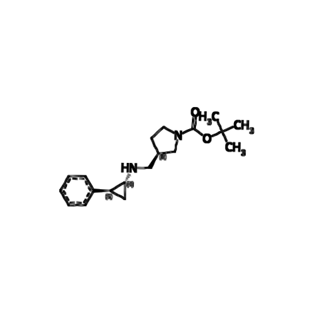 CC(C)(C)OC(=O)N1CC[C@H](CN[C@@H]2C[C@H]2c2ccccc2)C1